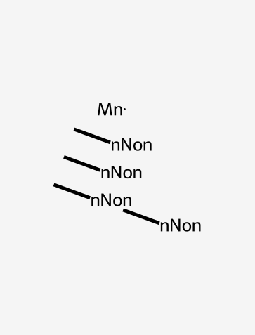 CCCCCCCCCC.CCCCCCCCCC.CCCCCCCCCC.CCCCCCCCCC.[Mn]